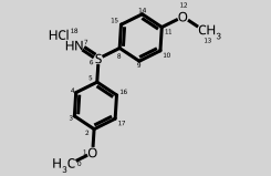 COc1ccc(S(=N)c2ccc(OC)cc2)cc1.Cl